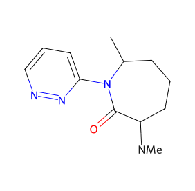 CNC1CCCC(C)N(c2cccnn2)C1=O